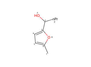 CCCC(O)c1ccc(C)o1